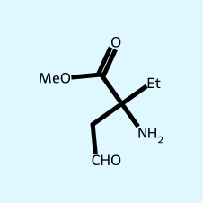 CCC(N)(CC=O)C(=O)OC